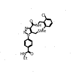 CCNC(=O)c1ccc(-n2nnc(C(=O)NCc3c(F)cccc3Cl)c2CSC)cc1